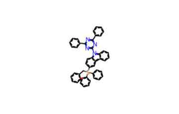 c1ccc(CS(c2ccccc2)(c2ccccc2)c2ccc3c(c2)c2ccccc2n3-c2nc(-c3ccccc3)nc(-c3ccccc3)n2)cc1